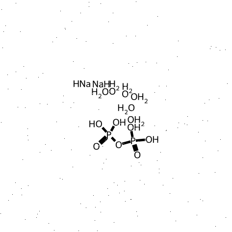 O.O.O.O.O.O.O=P(O)(O)OP(=O)(O)O.[NaH].[NaH]